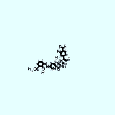 COc1cccc(/C=N/c2cnc(S(=O)(=O)Nc3nc(-c4ccc(C(F)F)c(F)c4)c(F)s3)c(C)c2)c1O